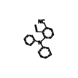 C=Cc1c(C#N)cccc1N(c1ccccc1)c1ccccc1